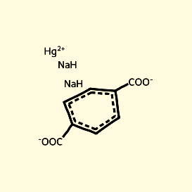 O=C([O-])c1ccc(C(=O)[O-])cc1.[Hg+2].[NaH].[NaH]